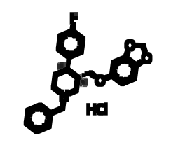 Cl.Fc1ccc([C@@H]2CCN(Cc3ccccc3)C[C@H]2COc2ccc3c(c2)OCO3)cc1